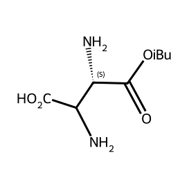 CC(C)COC(=O)[C@@H](N)C(N)C(=O)O